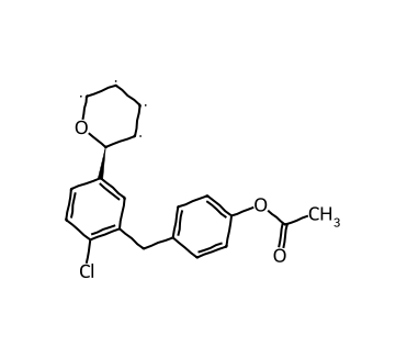 CC(=O)Oc1ccc(Cc2cc([C@@H]3[CH][CH][CH][CH]O3)ccc2Cl)cc1